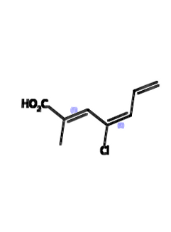 C=C/C=C(Cl)\C=C(/C)C(=O)O